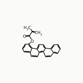 C=C(C)C(=O)Oc1cccc2ccc3c4ccc5ccccc5c4ccc3c12